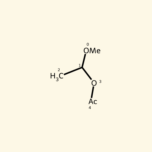 [C]OC(C)OC(C)=O